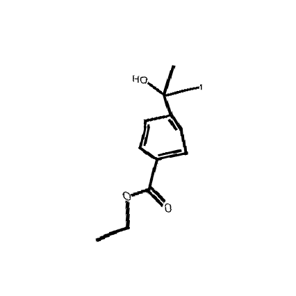 CCOC(=O)c1ccc(C(C)(O)I)cc1